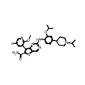 COc1ncc(F)cc1-c1c(C(N)=O)sc2cnc(Nc3ccc(C4CCN(C(C)C)CC4)cc3OC(C)C)nc12